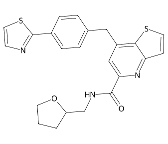 O=C(NCC1CCCO1)c1cc(Cc2ccc(-c3nccs3)cc2)c2sccc2n1